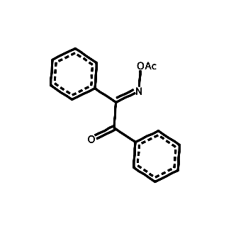 CC(=O)ON=C(C(=O)c1ccccc1)c1ccccc1